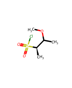 COC(C)[C@@H](C)S(=O)(=O)Cl